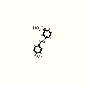 COc1ccc(CSc2cccc(C(=O)O)c2)cc1